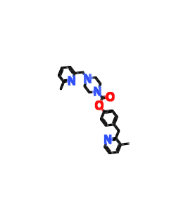 Cc1cccc(CN2CCN(C(=O)Oc3ccc(Cc4ncccc4C)cc3)CC2)n1